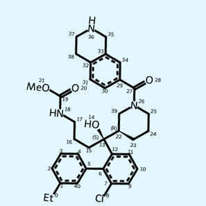 CCc1cccc(-c2c(Cl)cccc2[C@](O)(CCCNC(=O)OC)[C@@H]2CCCN(C(=O)c3ccc4c(c3)CNCC4)C2)c1